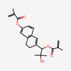 C=C(C)C(=O)Oc1ccc2c(c1)CCC(C(OC(=O)C(=C)C)C(C)(C)O)=C2